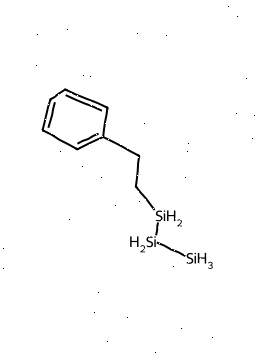 [SiH3][SiH2][SiH2]CCc1ccccc1